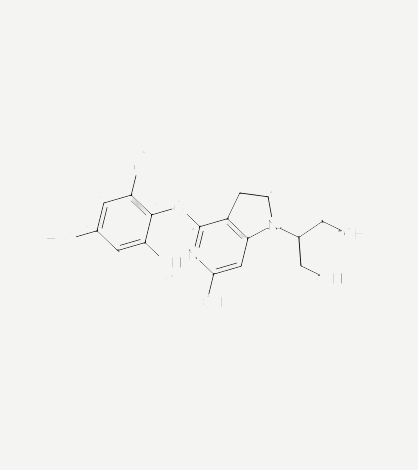 CCC(CC)N1CCc2c1cc(C)nc2Oc1c(C)cc(C)cc1C